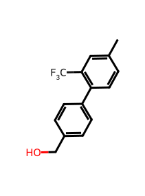 Cc1ccc(-c2ccc(CO)cc2)c(C(F)(F)F)c1